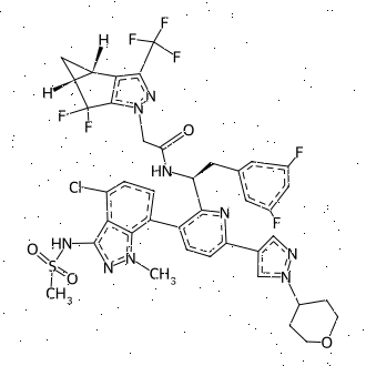 Cn1nc(NS(C)(=O)=O)c2c(Cl)ccc(-c3ccc(-c4cnn(C5CCOCC5)c4)nc3[C@H](Cc3cc(F)cc(F)c3)NC(=O)Cn3nc(C(F)(F)F)c4c3C(F)(F)[C@@H]3C[C@H]43)c21